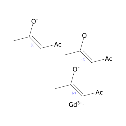 CC(=O)/C=C(/C)[O-].CC(=O)/C=C(/C)[O-].CC(=O)/C=C(/C)[O-].[Gd+3]